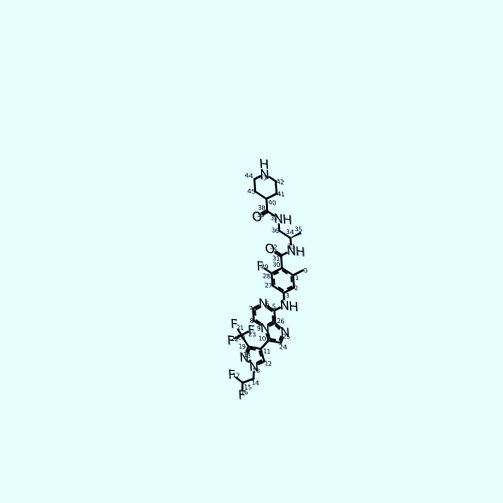 Cc1cc(Nc2nccn3c(-c4cn(CC(F)F)nc4C(F)(F)F)cnc23)cc(F)c1C(=O)N[C@H](C)CNC(=O)C1CCNCC1